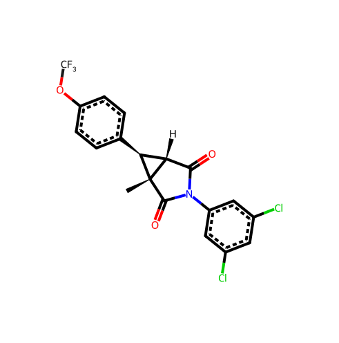 C[C@]12C(=O)N(c3cc(Cl)cc(Cl)c3)C(=O)[C@H]1[C@@H]2c1ccc(OC(F)(F)F)cc1